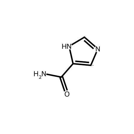 NC(=O)c1[c]nc[nH]1